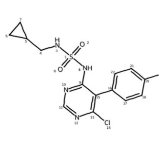 O=S(=O)(NCC1CC1)Nc1ncnc(Cl)c1-c1ccc(Cl)cc1